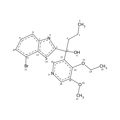 CCCC(O)(c1nc2cccc(Br)c2s1)c1cncc(OC)c1OCC